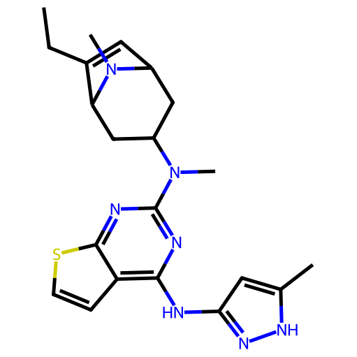 CCC1=CC2CC(N(C)c3nc(Nc4cc(C)[nH]n4)c4ccsc4n3)CC1N2C